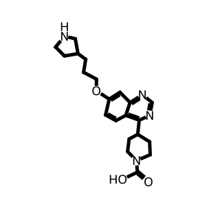 O=C(O)N1CCC(c2ncnc3cc(OCCCC4CCNC4)ccc23)CC1